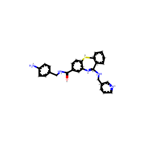 Nc1ccc(CNC(=O)c2ccc3c(c2)N=C(NCc2cccnc2)c2ccccc2S3)cc1